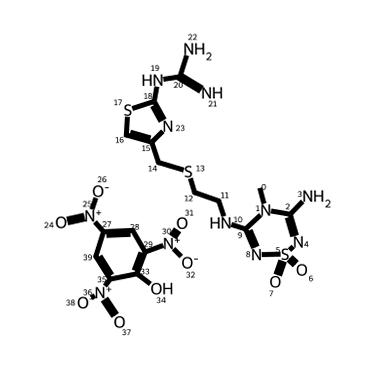 CN1C(N)=NS(=O)(=O)N=C1NCCSCc1csc(NC(=N)N)n1.O=[N+]([O-])c1cc([N+](=O)[O-])c(O)c([N+](=O)[O-])c1